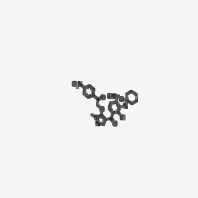 COc1ccc(C(=O)c2cnn(C)c2OCC(=O)c2ccc([N+](=O)[O-])cc2)c(Cl)c1N=S1(=O)CCCCC1